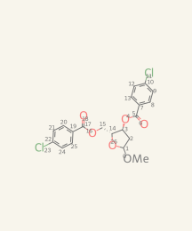 COC1C[C@H](OC(=O)c2ccc(Cl)cc2)[C@@H](COC(=O)c2ccc(Cl)cc2)O1